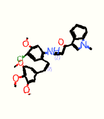 COc1cc(N/C=C\C(=O)c2cn(C)c3ccccc23)c(/C=C\c2cc(OC)c(OC)c(OC)c2)cc1Cl